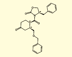 O=C1CC[C@@H](C(=O)N2C(=O)OC[C@H]2Cc2ccccc2)[C@@H](COCc2ccccc2)C1